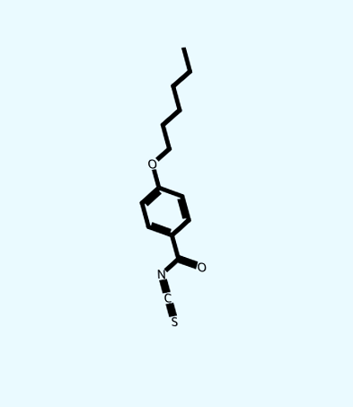 CCCCCCOc1ccc(C(=O)N=C=S)cc1